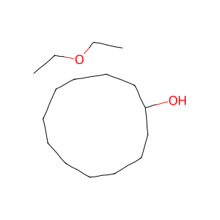 CCOCC.OC1CCCCCCCCCCC1